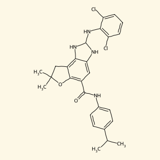 CC(C)c1ccc(NC(=O)c2cc3c(c4c2OC(C)(C)C4)NC(Nc2c(Cl)cccc2Cl)N3)cc1